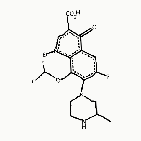 CCn1cc(C(=O)O)c(=O)c2cc(F)c(N3CCNC(C)C3)c(OC(F)F)c21